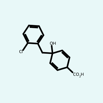 O=C(O)C1C=CC(O)(Cc2ccccc2Cl)C=C1